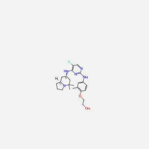 Cc1cc(Nc2ncc(F)c(N[C@@H]3C[C@@H]4CCCN4C(C)(C)C3)n2)ccc1OCCO